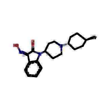 CC(C)[C@H]1CC[C@H](N2CCC(N3C(=O)/C(=N\O)c4ccccc43)CC2)CC1